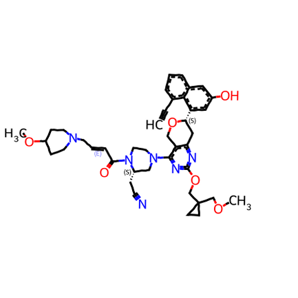 C#Cc1cccc2cc(O)cc([C@@H]3Cc4nc(OCC5(COC)CC5)nc(N5CCN(C(=O)/C=C/CN6CCC(OC)CC6)[C@@H](CC#N)C5)c4CO3)c12